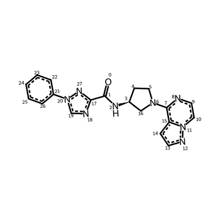 O=C(N[C@H]1CCN(c2nccn3nccc23)C1)c1ncn(-c2ccccc2)n1